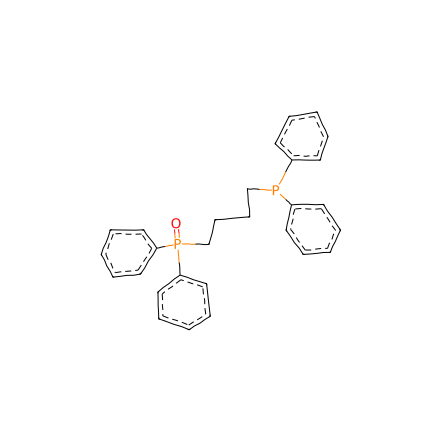 O=P(CCCCP(c1ccccc1)c1ccccc1)(c1ccccc1)c1ccccc1